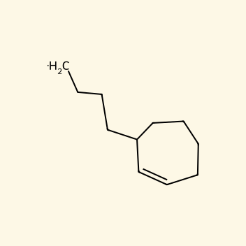 [CH2]CCCC1C=CCCCC1